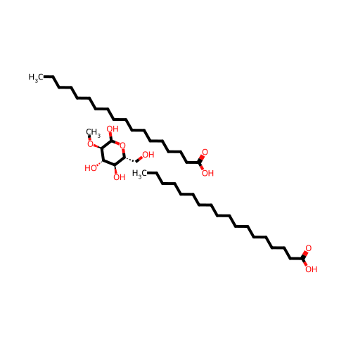 CCCCCCCCCCCCCCCCCC(=O)O.CCCCCCCCCCCCCCCCCC(=O)O.CO[C@H]1C(O)O[C@H](CO)[C@@H](O)[C@@H]1O